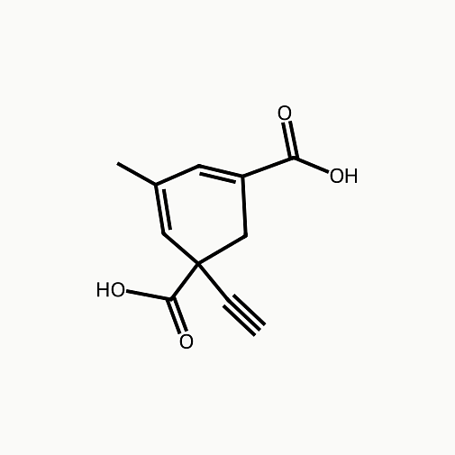 C#CC1(C(=O)O)C=C(C)C=C(C(=O)O)C1